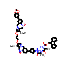 COc1c(OCCCOc2cn3c(c2OC)C=[N+]([O-])C2=CC=C(c4ccc5c(c4)OCO5)CC2C3)cn2c1C=[N+]([O-])C1=CC=C(c3ccc(NC(=O)C(C)NC(=O)C(NC(=O)OCC4c5ccccc5-c5ccccc54)C(C)C)cc3)CC1C2